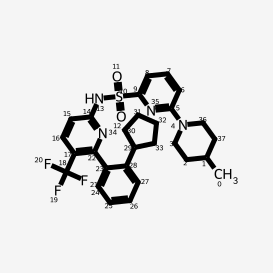 CC1CCN(c2cccc(S(=O)(=O)Nc3ccc(C(F)(F)F)c(-c4ccccc4C4CCCC4)n3)n2)CC1